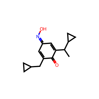 CC(C1=C/C(=N\O)C=C(CC2CC2)C1=O)C1CC1